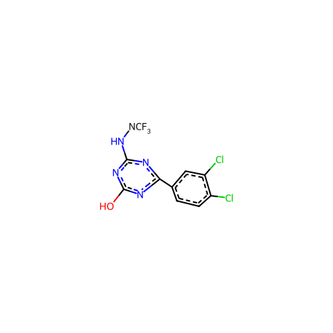 Oc1nc(NNC(F)(F)F)nc(-c2ccc(Cl)c(Cl)c2)n1